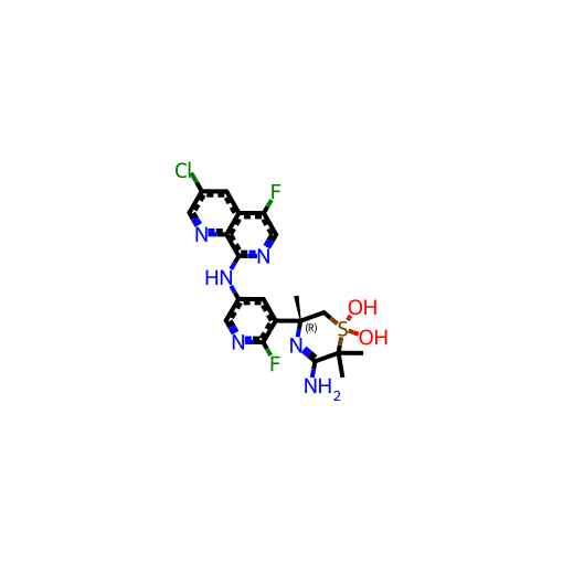 CC1(C)C(N)=N[C@](C)(c2cc(Nc3ncc(F)c4cc(Cl)cnc34)cnc2F)CS1(O)O